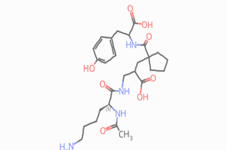 CC(=O)N[C@@H](CCCCN)C(=O)NCC(CC1(C(=O)NC(Cc2ccc(O)cc2)C(=O)O)CCCC1)C(=O)O